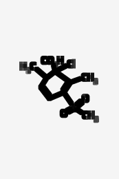 CC1=C(S(C)(=O)=O)C=CC(C)C1(Cl)C(=O)O